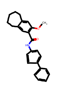 COc1cc2c(cc1C(=O)Nc1ccc(-c3ccccc3)cc1)CCCCC2